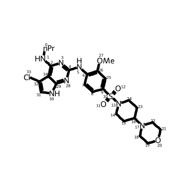 CCCNc1nc(Nc2ccc(S(=O)(=O)N3CCC(N4CCOCC4)CC3)cc2OC)nc2[nH]cc(Cl)c12